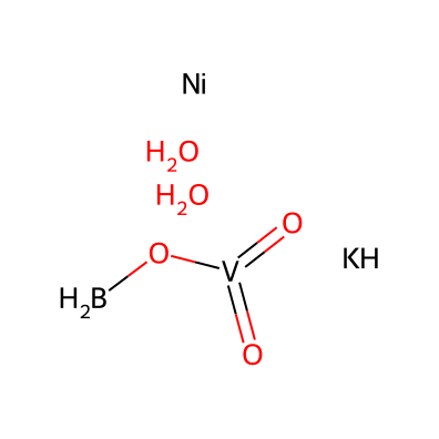 B[O][V](=[O])=[O].O.O.[KH].[Ni]